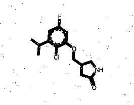 CC(C)c1cc(F)cc(OCC2CNC(=O)C2)c1Cl